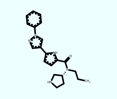 CCCN(C(=O)c1ccc(-c2cnn(-c3ccccc3)c2)[nH]1)[C@@H]1CCNC1